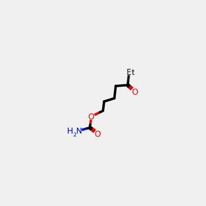 CCC(=O)CCCCOC(N)=O